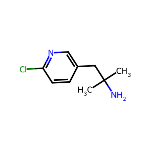 CC(C)(N)Cc1ccc(Cl)nc1